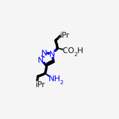 CC(C)C[C@H](N)c1cn([C@@H](CC(C)C)C(=O)O)nn1